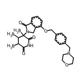 BC1C(=O)NC(=O)C(B)(N2Cc3c(OCc4ccc(CN5CCOCC5)cc4)cccc3C2=O)C1B